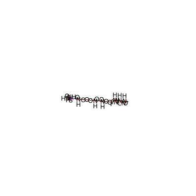 C=CC(=O)Nc1cccc(Nc2nc(Nc3ccc(OCCOCCNC(=O)CCCC(=O)NCCCOCCOCCOCCCNC(=O)CCC/C=C4\SC[C@@H]5NC(=O)N[C@H]45)c(F)c3)ncc2C#N)c1